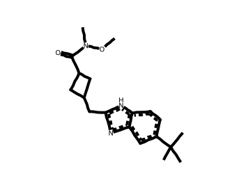 CON(C)C(=O)C1CC(Cc2nc3cc(C(C)(C)C)ccc3[nH]2)C1